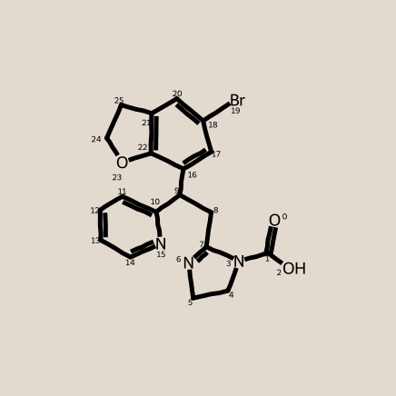 O=C(O)N1CCN=C1CC(c1ccccn1)c1cc(Br)cc2c1OCC2